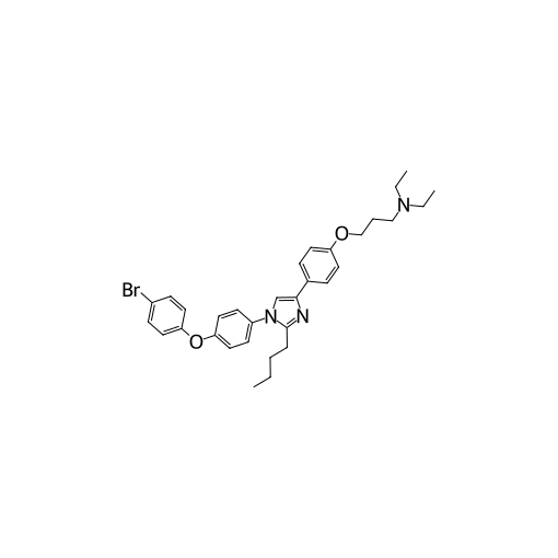 CCCCc1nc(-c2ccc(OCCCN(CC)CC)cc2)cn1-c1ccc(Oc2ccc(Br)cc2)cc1